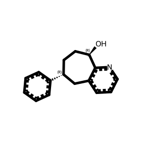 O[C@@H]1CC[C@@H](c2ccccc2)Cc2cccnc21